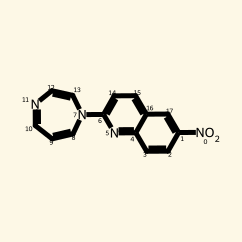 O=[N+]([O-])c1ccc2nc(N3C=CC=NC=C3)ccc2c1